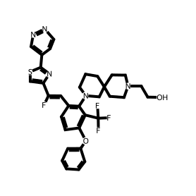 OCCN1CCC2(CCCN(c3c(/C=C(\F)c4csc(-c5ccnnc5)n4)ccc(Oc4ccccc4)c3C(F)(F)F)C2)CC1